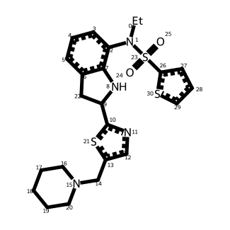 CCN(c1cccc2c1NC(c1ncc(CN3CCCCC3)s1)C2)S(=O)(=O)c1cccs1